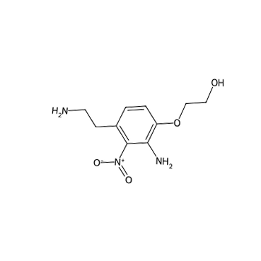 NCCc1ccc(OCCO)c(N)c1[N+](=O)[O-]